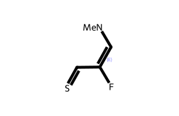 CN/C=C(/F)C=S